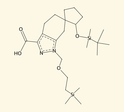 CC(C)(C)[Si](C)(C)OC1CCCC12CCc1c(C(=O)O)nn(COCC[Si](C)(C)C)c1C2